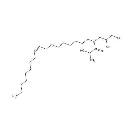 CCCCCCCC/C=C\CCCCCCCCN(CC(O)CO)C(=O)C(C)O